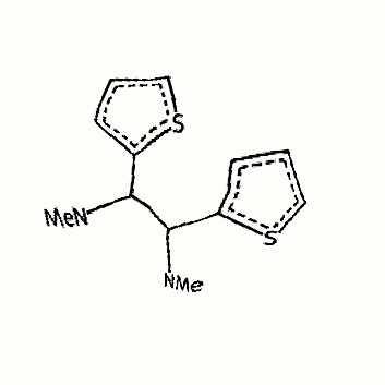 CNC(c1cccs1)C(NC)c1cccs1